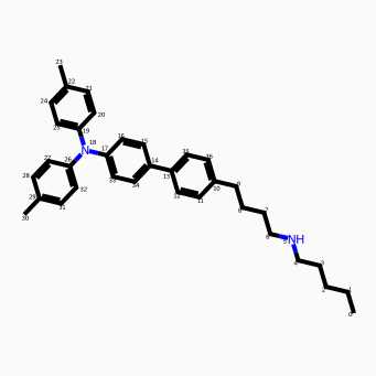 CCCCCNCCCCc1ccc(-c2ccc(N(c3ccc(C)cc3)c3ccc(C)cc3)cc2)cc1